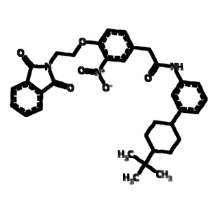 CC(C)(C)C1CCC(c2cccc(NC(=O)Cc3ccc(OCCN4C(=O)c5ccccc5C4=O)c([N+](=O)[O-])c3)c2)CC1